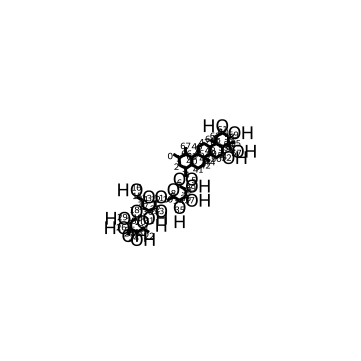 CC1CC(C(=O)OC2OC(COC3OC(CO)C(OC4OC(C)C(O)C(O)(O)C4O)C(O)C3O)C(O)C(O)C2O)C2CCC3(C)C(=CCC4C3CC(O)C3C(C)(CO)C(O)C(O)CC43C)C2C1C